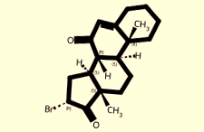 C[C@]12CCCCC1=CC(=O)[C@@H]1[C@@H]2CC[C@]2(C)C(=O)[C@H](Br)C[C@@H]12